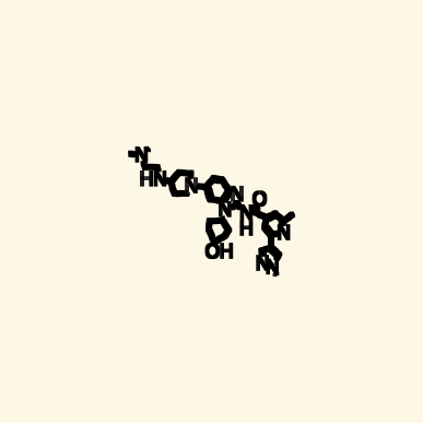 Cc1cc(C(=O)Nc2nc3ccc(N4CCC(NCCN(C)C)CC4)cc3n2[C@H]2CC[C@@H](O)CC2)cc(-c2cnn(C)c2)n1